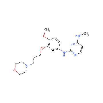 CNc1ccnc(Nc2ccc(OC)c(OCCCN3CCOCC3)c2)n1